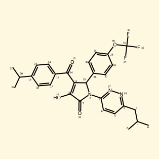 CC(C)Cc1ccc(N2C(=O)C(O)=C(C(=O)c3ccc(C(C)C)cc3)C2c2ccc(OC(F)(F)F)cc2)nn1